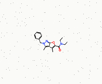 CCN(CC)C(=O)c1oc2nn(Cc3ccccc3)c(C)c2c1C